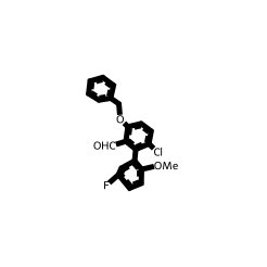 COc1ccc(F)cc1-c1c(Cl)ccc(OCc2ccccc2)c1C=O